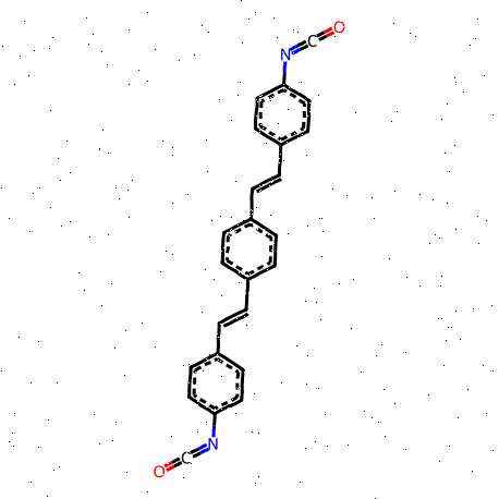 O=C=Nc1ccc(C=Cc2ccc(C=Cc3ccc(N=C=O)cc3)cc2)cc1